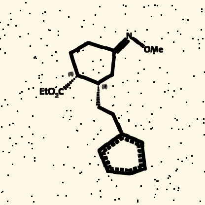 CCOC(=O)[C@@H]1CCC(=NOC)C[C@@H]1CCc1ccccc1